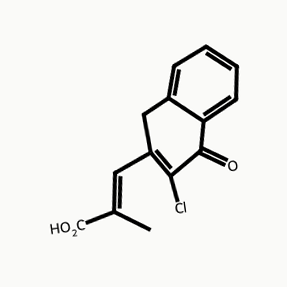 C/C(=C\C1=C(Cl)C(=O)c2ccccc2C1)C(=O)O